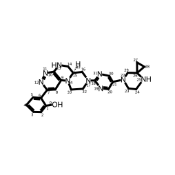 Oc1ccccc1-c1cc2c(nn1)NC[C@H]1CN(c3ncc(N4CCNC5(CC5)C4)cn3)CCN21